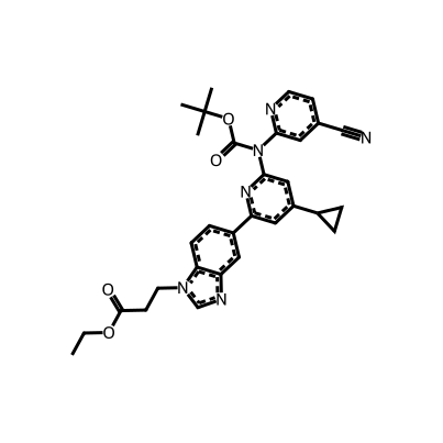 CCOC(=O)CCn1cnc2cc(-c3cc(C4CC4)cc(N(C(=O)OC(C)(C)C)c4cc(C#N)ccn4)n3)ccc21